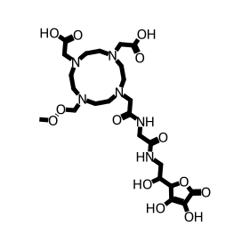 COOCN1CCN(CC(=O)O)CCN(CC(=O)O)CCN(CC(=O)NCC(=O)NCC(O)C2OC(=O)C(O)=C2O)CC1